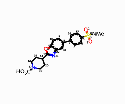 CNS(=O)(=O)c1ccc(-c2ccc3oc(C4CCN(C(=O)O)CC4)nc3c2)cc1